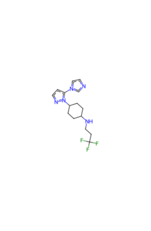 FC(F)(F)CCNC1CCC(n2nccc2-n2ccnc2)CC1